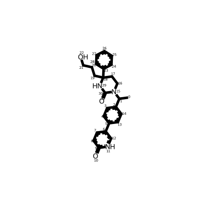 CC(c1ccc(-c2ccc(=O)[nH]c2)cc1)N1CCC(CCCO)(c2ccccc2)NC1=O